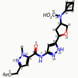 COCc1cc(C(=O)Nc2cc(C3CC(N(C(=O)O)C45CC(C4)C5)CO3)[nH]n2)n(C)n1